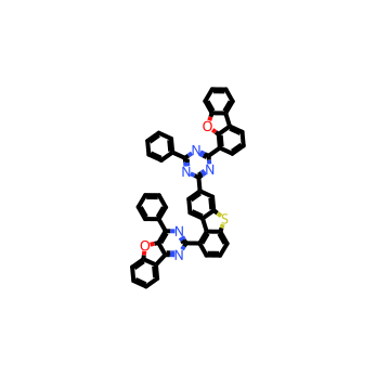 c1ccc(-c2nc(-c3ccc4c(c3)sc3cccc(-c5nc(-c6ccccc6)c6oc7ccccc7c6n5)c34)nc(-c3cccc4c3oc3ccccc34)n2)cc1